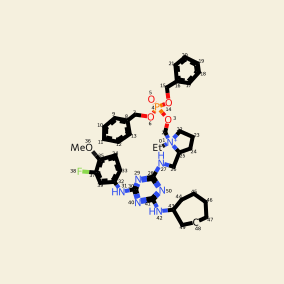 CC[N+]1(COP(=O)(OCc2ccccc2)OCc2ccccc2)CCCC1CNc1nc(Nc2ccc(OC)c(F)c2)nc(NC2CCCCCC2)n1